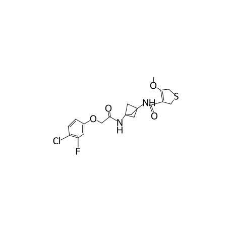 COC1=C(C(=O)NC23CC(NC(=O)COc4ccc(Cl)c(F)c4)(C2)C3)CSC1